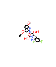 C=CCO[C@@H]1C[C@H](NC[C@H](O)[C@H](Cc2cc(F)cc(F)c2)NC(=O)O)c2cc(OC)ccc21